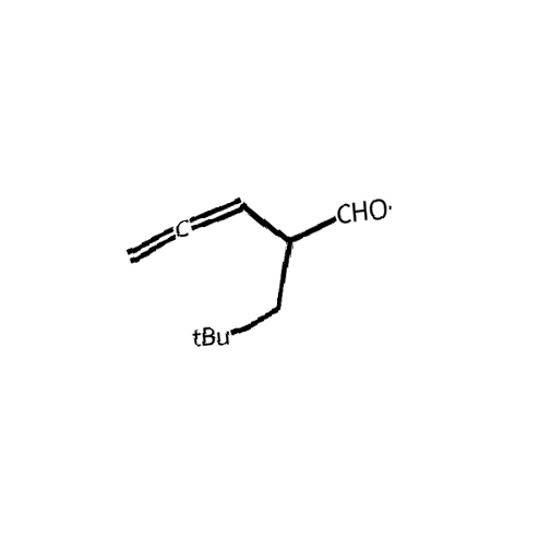 C=C=CC([C]=O)CC(C)(C)C